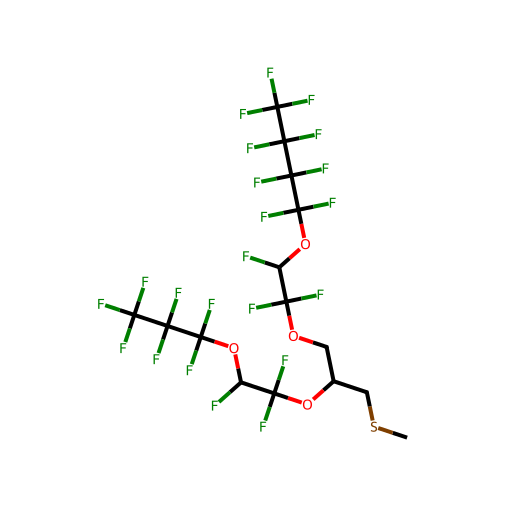 CSCC(COC(F)(F)C(F)OC(F)(F)C(F)(F)C(F)(F)C(F)(F)F)OC(F)(F)C(F)OC(F)(F)C(F)(F)C(F)(F)F